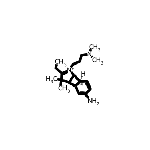 CCC1=[N+](CCCN(C)C)C2C(C3C=C(N)C=C[C@@H]32)C1(C)C